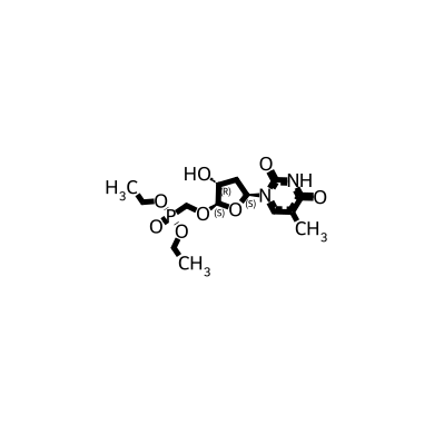 CCOP(=O)(CO[C@@H]1O[C@H](n2cc(C)c(=O)[nH]c2=O)C[C@H]1O)OCC